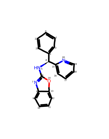 c1ccc([C@H](Nc2nc3ccccc3o2)c2ccccn2)cc1